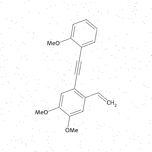 C=Cc1cc(OC)c(OC)cc1C#Cc1ccccc1OC